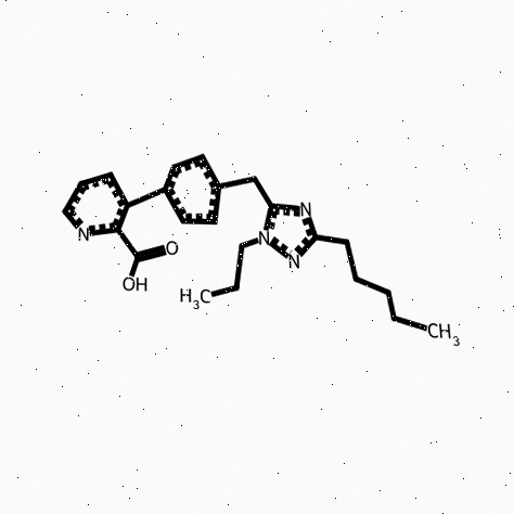 CCCCCc1nc(Cc2ccc(-c3cccnc3C(=O)O)cc2)n(CCC)n1